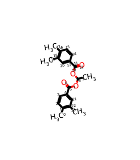 Cc1ccc(C(=O)OC(C)OC(=O)c2ccc(C)c(C)c2)cc1C